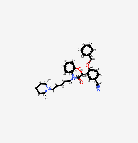 C[C@@H]1CCC[C@H](C)N1CCCCCN1C(=O)[C@H](c2cc(C#N)ccc2OCc2ccccc2)Oc2ccccc21